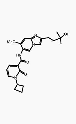 COc1cc2nc(CCC(C)(C)O)cn2cc1NC(=O)c1cccn(C2CCC2)c1=O